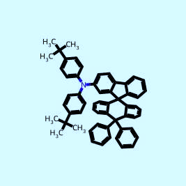 CC(C)(C)c1ccc(N(c2ccc(C(C)(C)C)cc2)c2ccc3c(c2)C2(c4ccccc4-3)c3ccccc3C(c3ccccc3)(c3ccccc3)c3ccccc32)cc1